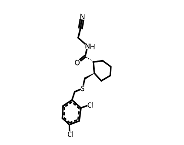 N#CCNC(=O)[C@@H]1CCCC[C@H]1CSCc1ccc(Cl)cc1Cl